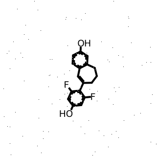 Oc1cc(F)c(C2=Cc3ccc(O)cc3CCC2)c(F)c1